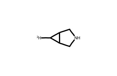 [2H]C1C2CNCC12